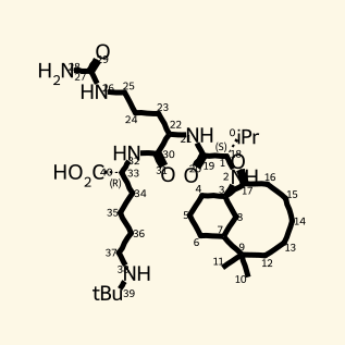 CC(C)[C@H](NC12CCCC(C1)C(C)(C)CCCCCC2=O)C(=O)NC(CCCNC(N)=O)C(=O)N[C@H](CCCCNC(C)(C)C)C(=O)O